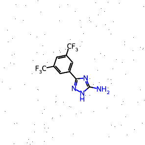 Nc1nc(-c2cc(C(F)(F)F)cc(C(F)(F)F)c2)n[nH]1